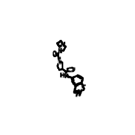 O=C(Nc1ccc2sncc2c1)C1CCN(C(=O)N2CCN3CCC32)C1